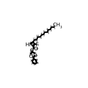 CCCCCCCCCCCCCc1c[nH]c(C(=O)OC2COC(c3ccccc3)OC2)c1F